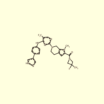 Cn1c(C(=O)N2CC(C)(F)C2)cc2c1CN(c1ncc(C(F)(F)F)c(Nc3ccc(-c4cn[nH]c4)cc3)n1)CC2